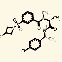 C[C@H](C(=O)N[C@H](C)c1ccc(Cl)cc1)N(C)C(=O)c1cccc(S(=O)(=O)N2CC(C#N)C2)c1